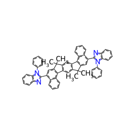 CC1(C)c2cc3c(cc2-c2c1cc(-c1nc4ccccc4n1-c1ccccc1)c1ccccc21)C(C)(C)c1cc(-c2nc4ccccc4n2-c2ccccc2)c2ccccc2c1-3